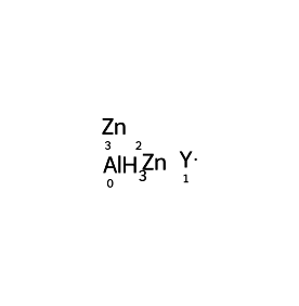 [AlH3].[Y].[Zn].[Zn]